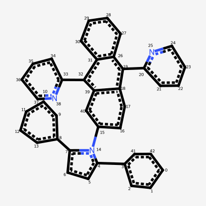 c1ccc(-c2ccc(-c3ccccc3)n2-c2ccc3c(-c4ccccn4)c4ccccc4c(-c4ccccn4)c3c2)cc1